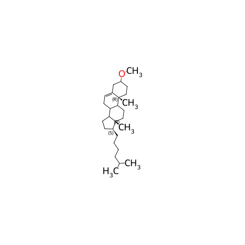 COC1CC[C@@]2(C)C(=CCC3C2CC[C@@]2(C)C3CC[C@@H]2CCCCC(C)C)C1